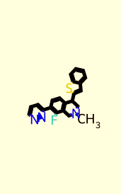 CN1Cc2c(ccc(-c3cccnn3)c2F)C(c2cc3ccccc3s2)C1